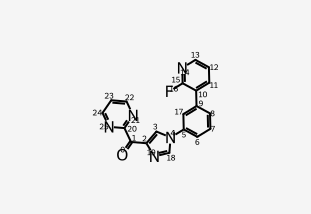 O=C(c1cn(-c2cccc(-c3cccnc3F)c2)cn1)c1ncccn1